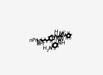 CCCN(CCC)CCCCC1CCN(Nc2nc(N[C@H]3CC[C@H](N)CC3)nc3c2ncn3C2CCCC2)CC1